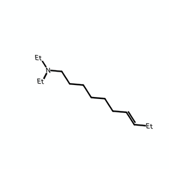 CC/C=C/CCCCCCN(CC)CC